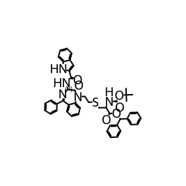 CC(C)(C)OC(=O)NC(CSCCN1C(=O)[C@H](NC(=O)c2cc3ccccc3[nH]2)N=C(c2ccccc2)c2ccccc21)C(=O)OC(c1ccccc1)c1ccccc1